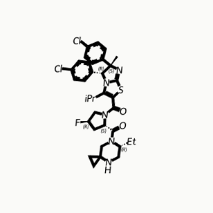 CC[C@@H]1CNC2(CC2)CN1C(=O)[C@@H]1C[C@@H](F)CN1C(=O)C1=C(C(C)C)N2C(=N[C@@](C)(c3ccc(Cl)cc3)[C@H]2c2ccc(Cl)cc2)S1